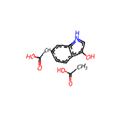 CC(=O)O.CC(=O)O.Oc1c[nH]c2ccccc12